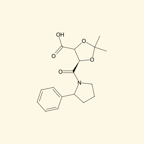 CC1(C)OC(C(=O)O)[C@H](C(=O)N2CCCC2c2ccccc2)O1